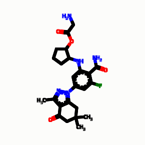 Cc1nn(-c2cc(F)c(C(N)=O)c(NC3CCCC3OC(=O)CN)c2)c2c1C(=O)CC(C)(C)C2